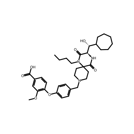 CCCCN1C(=O)[C@@H]([C@H](O)C2CCCCCC2)NC(=O)C12CCN(Cc1ccc(Oc3ccc(C(=O)O)cc3OC)cc1)CC2